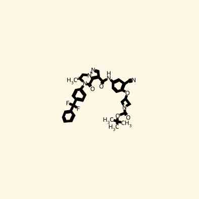 C[C@H]1Cn2ncc(C(=O)Nc3ccc(OC4CN(C(=O)OC(C)(C)C)C4)c(C#N)c3)c2C(=O)N1c1ccc(C(F)(F)c2ccccc2)cc1